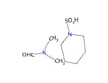 CN(C)C=O.O=S(=O)(O)N1CCCCC1